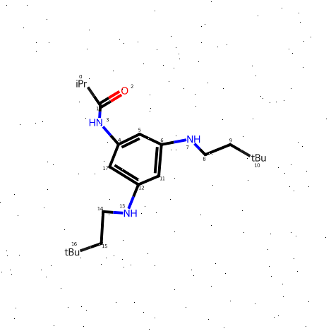 CC(C)C(=O)Nc1cc(NCCC(C)(C)C)cc(NCCC(C)(C)C)c1